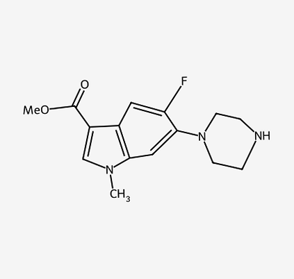 COC(=O)c1cn(C)c2cc(N3CCNCC3)c(F)cc12